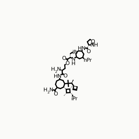 CCCC1CC(NC(=O)[C@@H]2CCON2)CCC(N[C@@H](CC(C)C)C(=O)OCC[C@H](N)C(=O)NC2CCC(C(N)=O)C[C@@H](C3[C@@H](C)[C@@H](CC(C)C)[C@H]3C)C(C(C)(C)[C@@H](C)[C@@H]3C=CC3)C2)C1